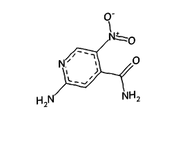 NC(=O)c1cc(N)ncc1[N+](=O)[O-]